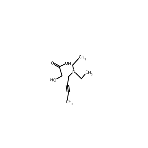 CC#CCN(CC)CC.O=C(O)CO